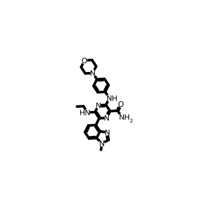 CCNc1nc(Nc2ccc(N3CCOCC3)cc2)c(C(N)=O)nc1-c1cccc2c1ncn2C